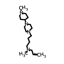 C=CCN(C)CCCCN1CCN(C2CCN(C)CC2)CC1